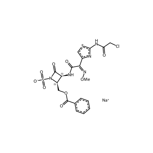 CON=C(C(=O)N[C@@H]1C(=O)N(S(=O)(=O)[O-])[C@@H]1COC(=O)c1ccccc1)c1csc(NC(=O)CCl)n1.[Na+]